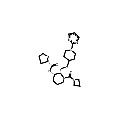 O=C(N[C@H]1CCCN(C(=O)N2CCC2)[C@H]1COC1CCN(c2ncccn2)CC1)[C@@H]1CCCO1